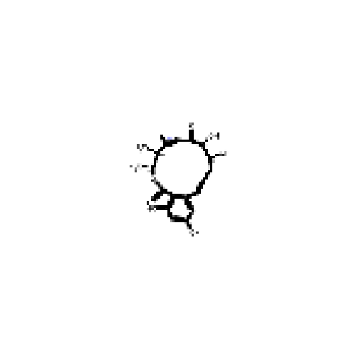 C[C@@H]1OC(=O)c2c(O)cc(O)cc2/C=C/C[C@H](O)[C@H](O)C(=O)/C=C(/F)[C@@H]1C